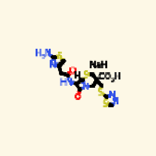 Nc1nc(CC(=O)NC2C(=O)N3CC(CSc4nncs4)(C(=O)O)CS[C@H]23)cs1.[NaH]